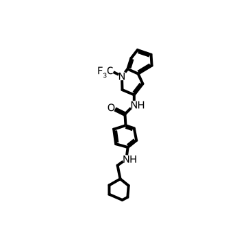 O=C(NC1=Cc2ccccc2N(C(F)(F)F)C1)c1ccc(NCC2CCCCC2)cc1